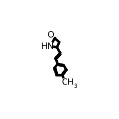 Cc1ccc(C=CC2CC(=O)N2)cc1